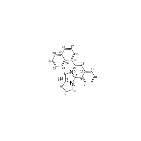 c1ccc(C2=NC[C@@H]3CCCN23)c(CCc2cccc3ccccc23)c1